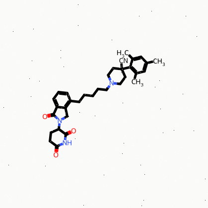 Cc1cc(C)c(C2(C#N)CCN(CCCCCc3cccc4c3CN(C3CCC(=O)NC3=O)C4=O)CC2)c(C)c1